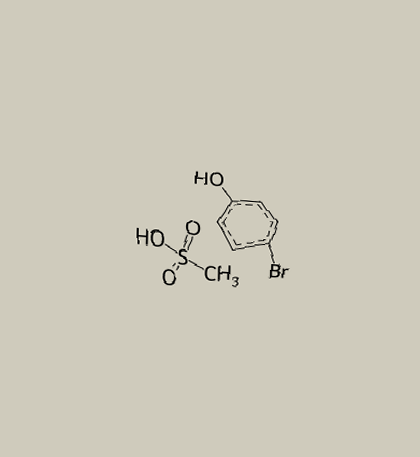 CS(=O)(=O)O.Oc1ccc(Br)cc1